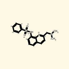 CN(C)Cc1ccc2cccc(NS(=O)(=O)c3ccccc3)c2n1